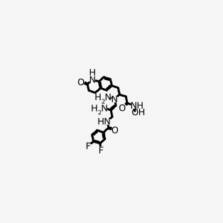 N/C(=C\N(N)C(CC(=O)NO)Cc1ccc2c(c1)CCC(=O)N2)CNC(=O)c1ccc(F)c(F)c1